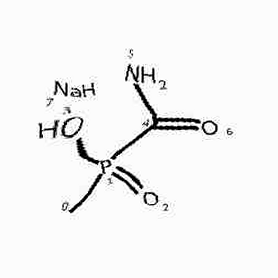 CP(=O)(O)C(N)=O.[NaH]